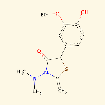 C=C1SC(c2ccc(O)c(OCC)c2)C(=O)N1N(C)C